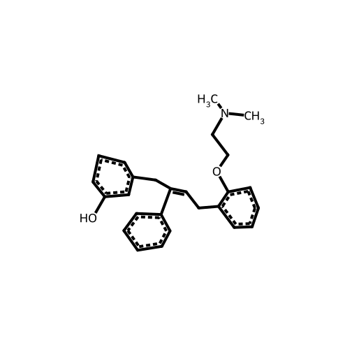 CN(C)CCOc1ccccc1C/C=C(/Cc1cccc(O)c1)c1ccccc1